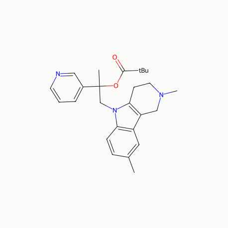 Cc1ccc2c(c1)c1c(n2CC(C)(OC(=O)C(C)(C)C)c2cccnc2)CCN(C)C1